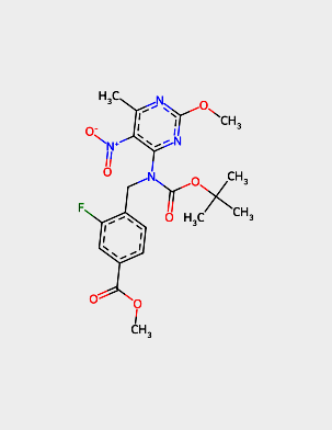 COC(=O)c1ccc(CN(C(=O)OC(C)(C)C)c2nc(OC)nc(C)c2[N+](=O)[O-])c(F)c1